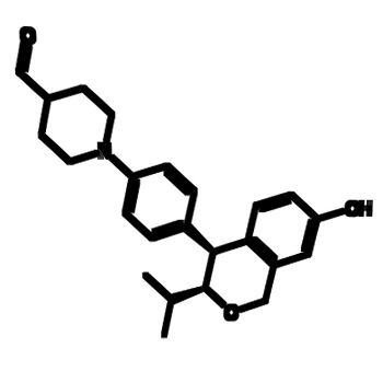 CC(C)[C@@H]1OCc2cc(O)ccc2[C@@H]1c1ccc(N2CCC(C=O)CC2)cc1